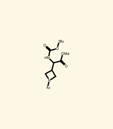 COC(=O)C(NC(=O)OC(C)(C)C)C1CN(C(C)=O)C1